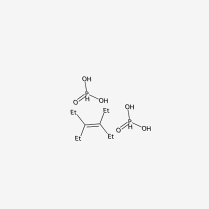 CCC(CC)=C(CC)CC.O=[PH](O)O.O=[PH](O)O